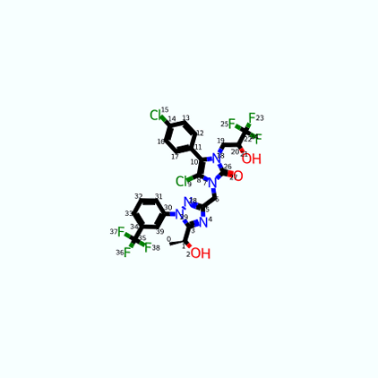 C[C@H](O)c1nc(Cn2c(Cl)c(-c3ccc(Cl)cc3)n(CC(O)C(F)(F)F)c2=O)nn1-c1cccc(C(F)(F)F)c1